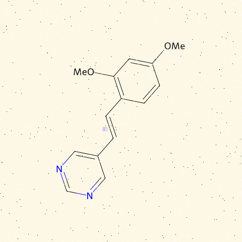 COc1ccc(/C=C/c2cncnc2)c(OC)c1